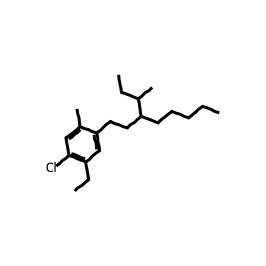 CCCCCC(CCc1cc(CC)c(Cl)cc1C)C(C)CC